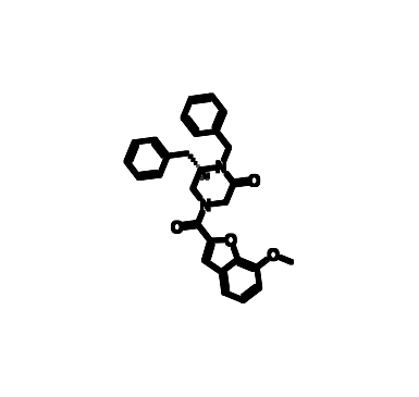 COc1cccc2cc(C(=O)N3CC(=O)N(Cc4ccccc4)[C@@H](Cc4ccccc4)C3)oc12